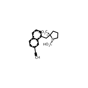 C#Cc1ccc2cccc(C[C@]3(C(=O)O)CCCN3C(=O)O)c2c1